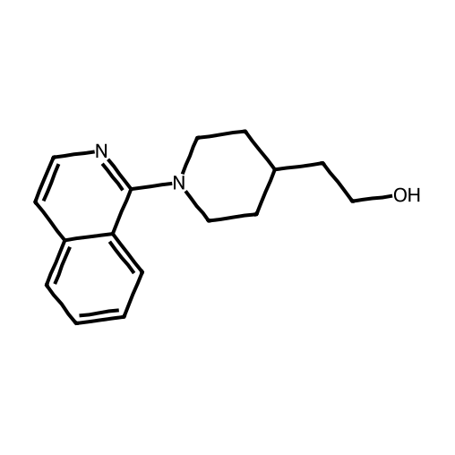 OCCC1CCN(c2nccc3ccccc23)CC1